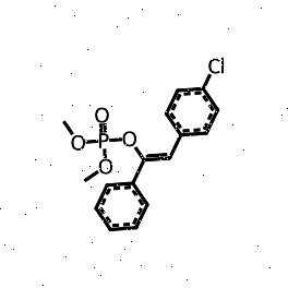 COP(=O)(OC)OC(=Cc1ccc(Cl)cc1)c1ccccc1